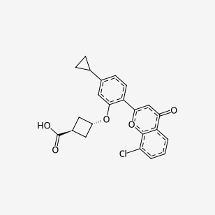 O=c1cc(-c2ccc(C3CC3)cc2O[C@H]2C[C@H](C(=O)O)C2)oc2c(Cl)cccc12